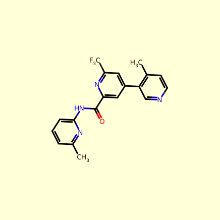 Cc1cccc(NC(=O)c2cc(-c3cnccc3C)cc(C(F)(F)F)n2)n1